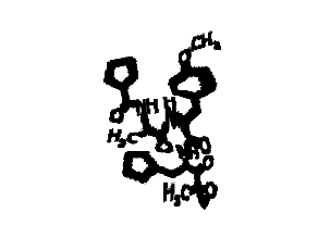 COc1ccc(CC(NC(=O)C(C)NC(=O)C2CCCC2)C(=O)NC(CC2CCCC2)C(=O)C2(C)CO2)cc1